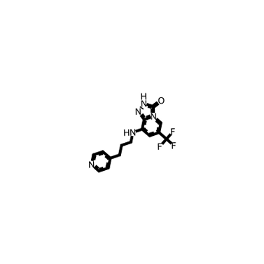 O=c1[nH]nc2c(NCCCc3ccncc3)cc(C(F)(F)F)cn12